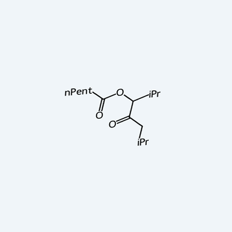 CCCCCC(=O)OC(C(=O)CC(C)C)C(C)C